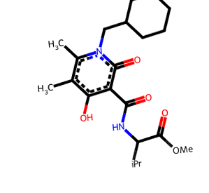 COC(=O)C(NC(=O)c1c(O)c(C)c(C)n(CC2CCCCC2)c1=O)C(C)C